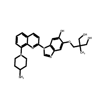 CC(CO)(CO)COc1cc2ncn(-c3ccc4cccc(N5CCC(N)CC5)c4n3)c2cc1O